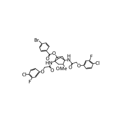 COC1CC2(NC(=O)COc3ccc(Cl)c(F)c3)CCC1(NC(=O)COc1ccc(Cl)c(F)c1)CC2OC(=O)c1ccc(Br)cc1